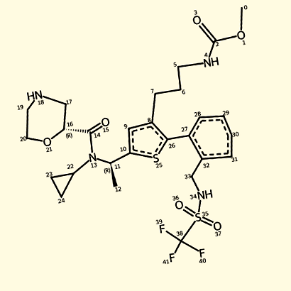 COC(=O)NCCCc1cc([C@@H](C)N(C(=O)[C@H]2CNCCO2)C2CC2)sc1-c1ccccc1CNS(=O)(=O)C(F)(F)F